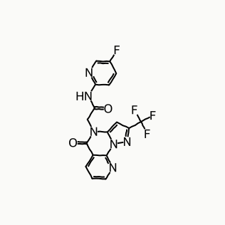 O=C(Cn1c(=O)c2cccnc2n2nc(C(F)(F)F)cc12)Nc1ccc(F)cn1